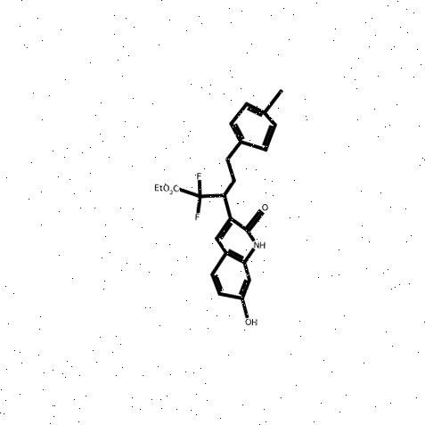 CCOC(=O)C(F)(F)C(CCc1ccc(C)cc1)c1cc2ccc(O)cc2[nH]c1=O